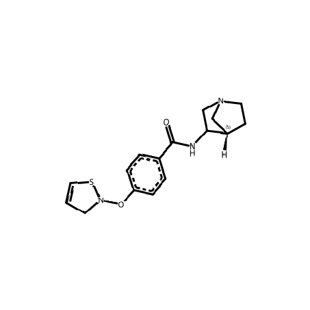 O=C(NC1CN2CC[C@H]1C2)c1ccc(ON2CC=CS2)cc1